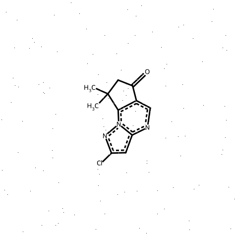 CC1(C)CC(=O)c2cnc3cc(Cl)nn3c21